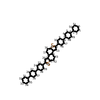 c1ccc(-c2ccc(-c3ccc(-c4cc5c(ccc6c7cc(-c8ccc(-c9ccc(-c%10ccccc%10)cc9)cc8)sc7ccc56)s4)cc3)cc2)cc1